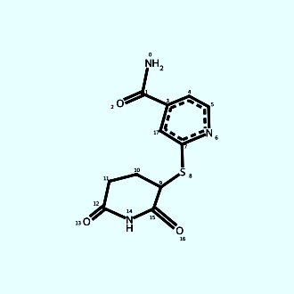 NC(=O)c1ccnc(SC2CCC(=O)NC2=O)c1